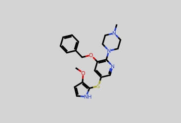 COc1cc[nH]c1Sc1cnc(N2CCN(C)CC2)c(OCc2ccccc2)c1